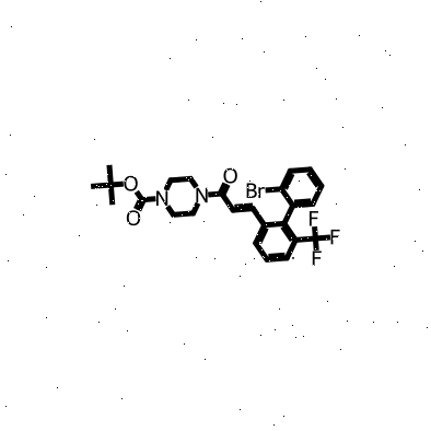 CC(C)(C)OC(=O)N1CCN(C(=O)/C=C/c2cc[c]c(C(F)(F)F)c2-c2ccccc2Br)CC1